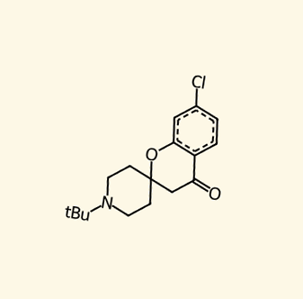 CC(C)(C)N1CCC2(CC1)CC(=O)c1ccc(Cl)cc1O2